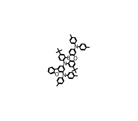 Cc1ccc(N(c2ccc(C)cc2)c2ccc3c(c2)Oc2cc(C(C)(C)C)cc4c2B3c2cc(C(C)(C)C)ccc2N4c2cc(N(c3ccc(C)cc3)c3ccc(C)cc3)c3oc4ccccc4c3c2)cc1